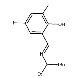 CCC(/N=C/c1cc(I)cc(I)c1O)C(C)(C)C